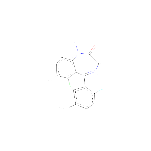 COc1ccc(F)c(C2=NCC(=O)N(N)c3ccc(C(F)(F)F)c(Cl)c32)c1